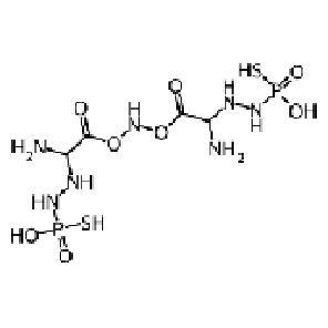 NC(NNP(=O)(O)S)C(=O)ONOC(=O)C(N)NNP(=O)(O)S